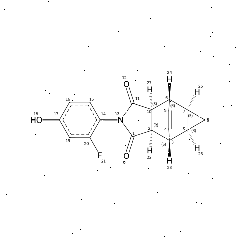 O=C1[C@@H]2[C@@H]3C=C[C@@H]([C@H]4C[C@@H]34)[C@@H]2C(=O)N1c1ccc(O)cc1F